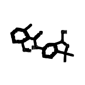 COc1cccc(C)c1C(=O)Nc1ccc2c(c1)B(O)OC2(C)C